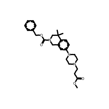 COC(=O)CCN1CCN(c2ccc3c(c2)CN(C(=O)OCc2ccccc2)CC3(C)C)CC1